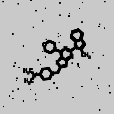 Cc1cc2ccccc2n1-c1nc(N2CCOCC2)c2sc(CN3CCC(N(C)C)CC3)cc2n1